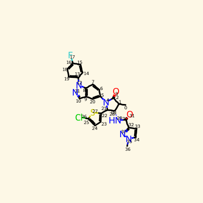 CC1C(=O)N(c2ccc3c(cnn3-c3ccc(F)cc3)c2)C(c2ccc(Cl)s2)[C@H]1NC(=O)c1ccn(C)n1